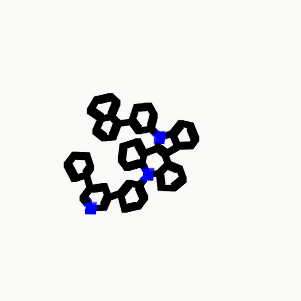 c1ccc(-c2cncc(-c3cccc(N4c5ccccc5-c5c(n(-c6cccc(-c7cccc8ccccc78)c6)c6ccccc56)-c5ccccc54)c3)c2)cc1